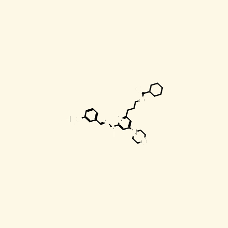 Cc1cccc(/C=N/Nc2cc(N3CCOCC3)cc(CCCOC(=O)C3CCCCC3)n2)c1